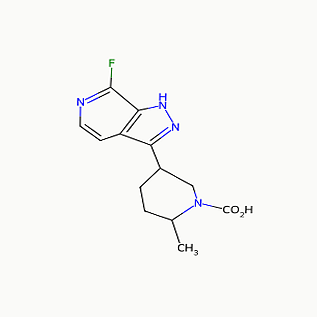 CC1CCC(c2n[nH]c3c(F)nccc23)CN1C(=O)O